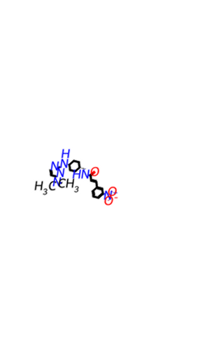 CN(C)c1ccnc(N[C@H]2CC[C@@H](CNC(=O)C=Cc3cccc([N+](=O)[O-])c3)CC2)n1